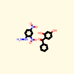 NNc1ccc([N+](=O)[O-])cc1[N+](=O)[O-].O=C(c1ccccc1)c1ccc(O)cc1O